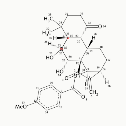 C=C1C(=O)[C@]23[C@H](OC(=O)c4ccc(OC)cc4)[C@H]1CC[C@H]2[C@@]12CO[C@@]3(O)[C@@H](O)[C@@H]1C(C)(C)CCC2=O